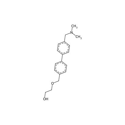 CN(C)Cc1ccc(-c2ccc(COCCO)cc2)cc1